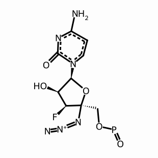 [N-]=[N+]=N[C@]1(COP=O)O[C@H](n2ccc(N)nc2=O)[C@H](O)[C@@H]1F